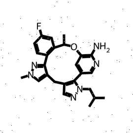 CC(C)Cn1ncc2c1-c1cnc(N)c(c1)OC(C)c1cc(F)ccc1-c1nn(C)cc1C2